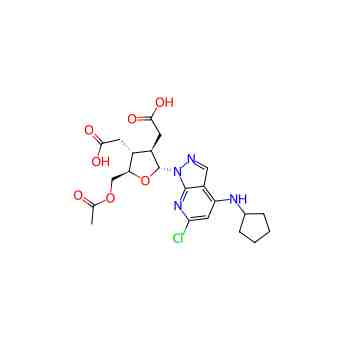 CC(=O)OC[C@@H]1O[C@@H](n2ncc3c(NC4CCCC4)cc(Cl)nc32)[C@H](CC(=O)O)[C@H]1CC(=O)O